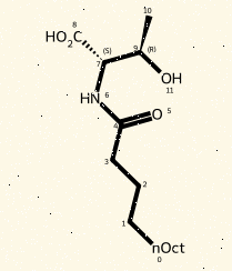 CCCCCCCCCCCC(=O)N[C@H](C(=O)O)[C@@H](C)O